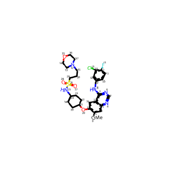 COc1cc2ncnc(Nc3ccc(F)c(Cl)c3)c2cc1OC1CCC(NS(=O)(=O)CCCN2CCOCC2)CC1